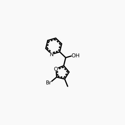 Cc1cc(C(O)c2ccccn2)oc1Br